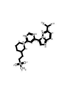 CS(=O)(=O)CCC1CCCN(c2cc(-c3cnc4ccc(C(F)F)nn34)ncn2)C1